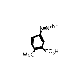 COc1ccc(N=[N+]=[N-])cc1C(=O)O